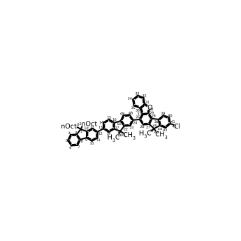 CCCCCCCCC1(CCCCCCCC)c2ccccc2-c2ccc(-c3ccc4c(c3)C(C)(C)c3cc(-c5cc6c(c7oc8ccccc8c57)-c5ccc(Cl)cc5C6(C)C)ccc3-4)cc21